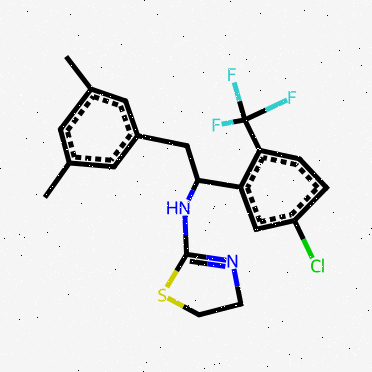 Cc1cc(C)cc(CC(NC2=NCCS2)c2cc(Cl)ccc2C(F)(F)F)c1